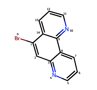 Brc1cc2ncccc2c2ncccc12